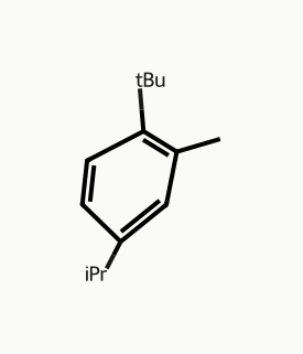 Cc1cc(C(C)C)ccc1C(C)(C)C